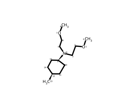 COCCN(CCOC)[C@H]1CC[C@@H](C)CC1